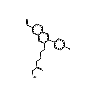 C=Cc1ccc2nc(-c3ccc(F)cc3)c(CCCCC(=O)CC(C)(C)C)nc2c1